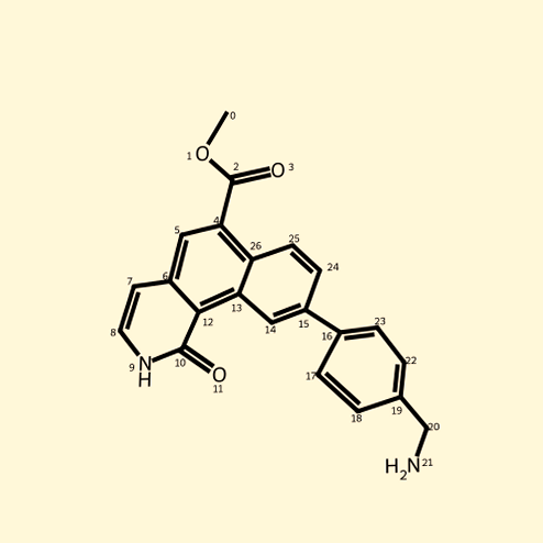 COC(=O)c1cc2cc[nH]c(=O)c2c2cc(-c3ccc(CN)cc3)ccc12